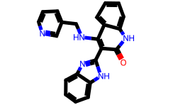 O=c1[nH]c2ccccc2c(NCc2cccnc2)c1-c1nc2ccccc2[nH]1